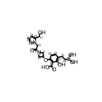 O=C(O)c1c(OC2CN(C(=O)Cn3nncc3CO)C2)ccc(CCB(O)O)c1O